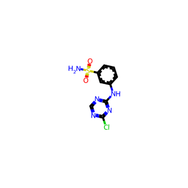 NS(=O)(=O)c1cccc(Nc2ncnc(Cl)n2)c1